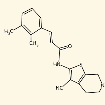 Cc1cccc(C=CC(=O)Nc2sc3c(c2C#N)CCNC3)c1C